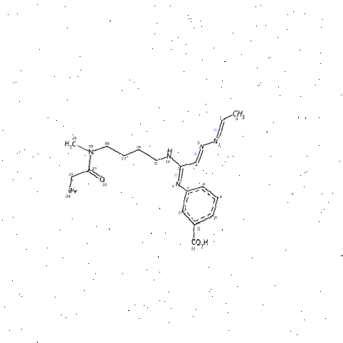 C/C=N/N=C/C(=N\c1cccc(C(=O)O)c1)NCCCCN(C)C(=O)CC(C)C